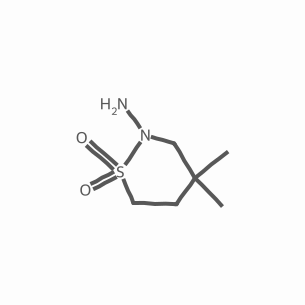 CC1(C)CCS(=O)(=O)N(N)C1